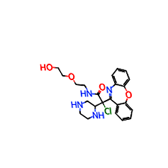 O=C(NCCOCCO)C(Cl)(C1=Nc2ccccc2Oc2ccccc21)C1CNCCN1